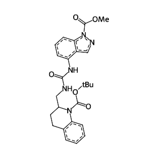 COC(=O)n1ncc2c(NC(=O)NCC3CCc4ccccc4N3C(=O)OC(C)(C)C)cccc21